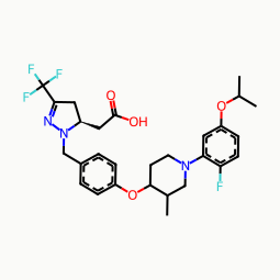 CC(C)Oc1ccc(F)c(N2CCC(Oc3ccc(CN4N=C(C(F)(F)F)C[C@H]4CC(=O)O)cc3)C(C)C2)c1